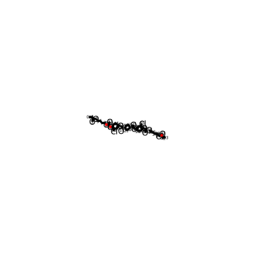 C=CC(=O)OCCCCOC(=O)Oc1ccc(OC(=O)[C@H]2CC[C@H](C(=O)Oc3ccc(OC(=O)OCCCCOC(=O)C=C)c(Cl)c3)CC2)cc1Cl